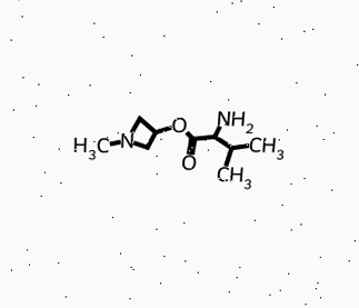 CC(C)C(N)C(=O)OC1CN(C)C1